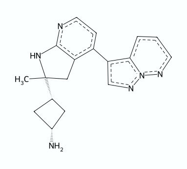 CC1([C@H]2C[C@@H](N)C2)Cc2c(-c3cnn4ncccc34)ccnc2N1